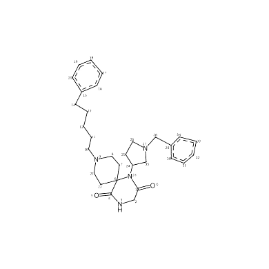 O=C1CNC(=O)C2(CCN(CCCCCc3ccccc3)CC2)N1C1CCN(Cc2ccccc2)C1